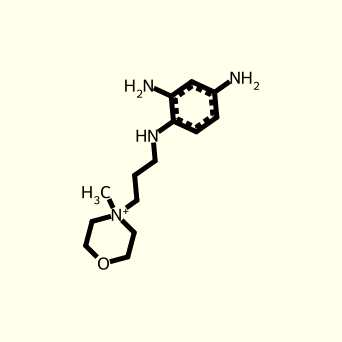 C[N+]1(CCCNc2ccc(N)cc2N)CCOCC1